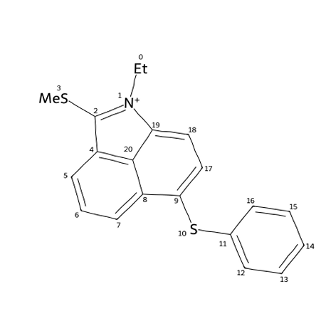 CC[N+]1=C(SC)c2cccc3c(Sc4ccccc4)ccc1c23